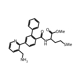 COC(=O)C(CCSC)NC(=O)c1ccc(-c2ncccc2CN)cc1-c1ccccc1